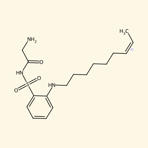 C/C=C\CCCCCCNc1ccccc1S(=O)(=O)NC(=O)CN